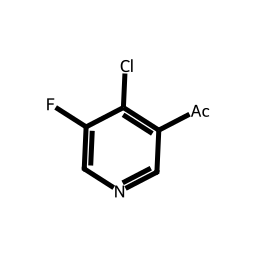 CC(=O)c1cncc(F)c1Cl